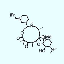 CO[C@]1(C)C[C@@H](C)CN(C)[C@H](C2CCCN(CC(C)C)C2)COC(=O)C(C)(C)C(=O)[C@H](C)[C@H]1O[C@@H]1O[C@H](C)C[C@H](N(C)C)[C@H]1O